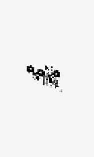 N#Cc1cccc(-n2nc(C(F)(F)F)cc2C(=O)Nc2cccc(C(=O)c3ccccc3)c2F)c1